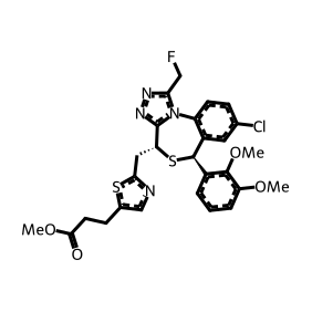 COC(=O)CCc1cnc(C[C@H]2S[C@H](c3cccc(OC)c3OC)c3cc(Cl)ccc3-n3c(CF)nnc32)s1